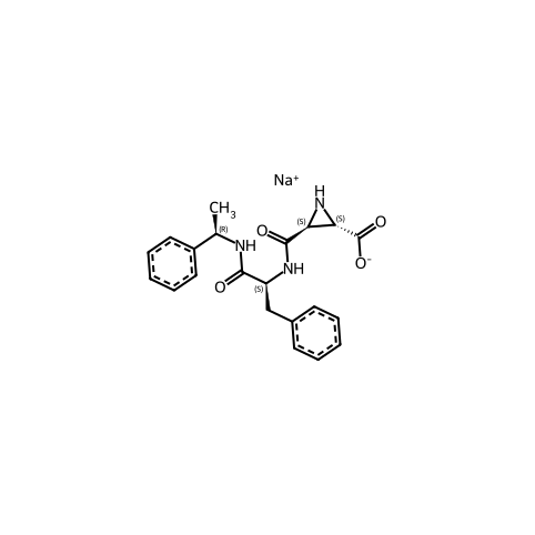 C[C@@H](NC(=O)[C@H](Cc1ccccc1)NC(=O)[C@H]1N[C@@H]1C(=O)[O-])c1ccccc1.[Na+]